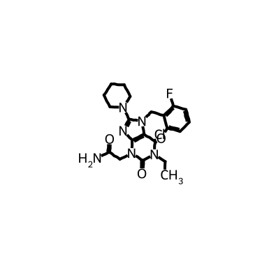 CCn1c(=O)c2c(nc(N3CCCCC3)n2Cc2c(F)cccc2Cl)n(CC(N)=O)c1=O